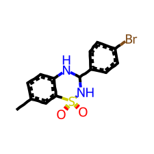 Cc1ccc2c(c1)S(=O)(=O)NC(c1ccc(Br)cc1)N2